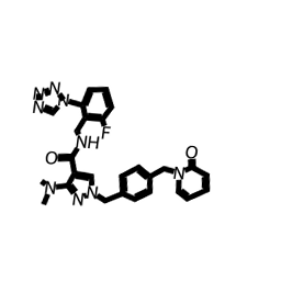 CN(C)c1nn(Cc2ccc(Cn3ccccc3=O)cc2)cc1C(=O)NCc1c(F)cccc1-n1cnnn1